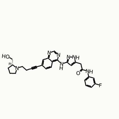 O=C(Cc1cc(Nc2ncnc3cc(C#CCCN4CCC[C@@H]4CO)ccc23)n[nH]1)Nc1cccc(F)c1